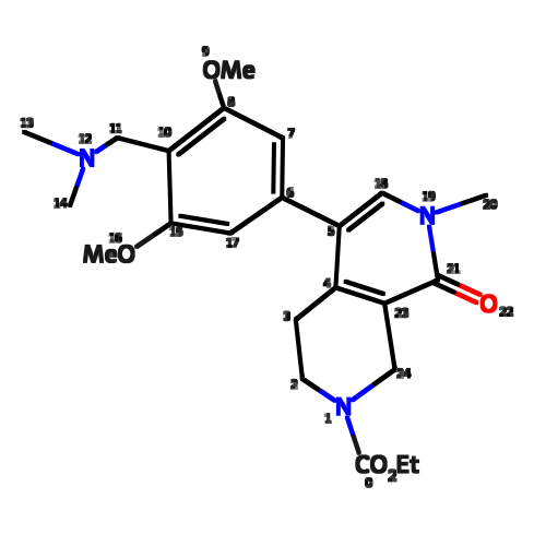 CCOC(=O)N1CCc2c(-c3cc(OC)c(CN(C)C)c(OC)c3)cn(C)c(=O)c2C1